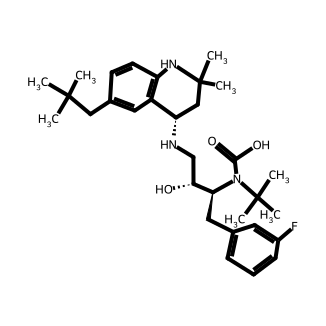 CC(C)(C)Cc1ccc2c(c1)[C@@H](NC[C@@H](O)[C@H](Cc1cccc(F)c1)N(C(=O)O)C(C)(C)C)CC(C)(C)N2